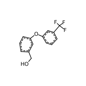 OCc1cccc(Oc2cccc(C(F)(F)F)c2)c1